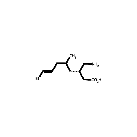 CCC=CCC(C)C[C@H](CN)CC(=O)O